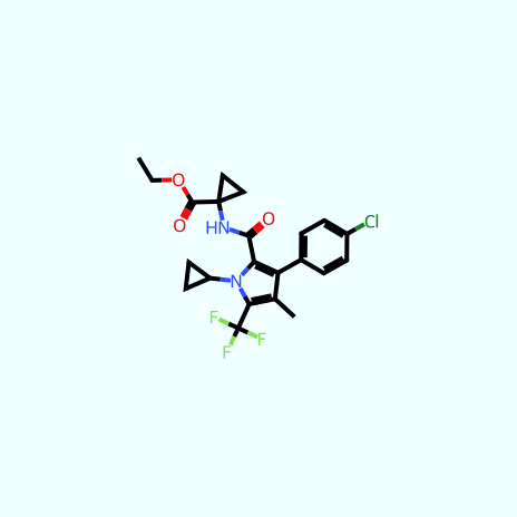 CCOC(=O)C1(NC(=O)c2c(-c3ccc(Cl)cc3)c(C)c(C(F)(F)F)n2C2CC2)CC1